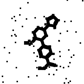 COC(=O)c1ccc(C2CC(n3cccn3)CCN2C(=O)O)cc1